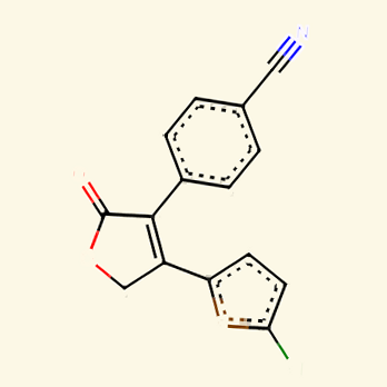 N#Cc1ccc(C2=C(c3ccc(Cl)s3)COC2=O)cc1